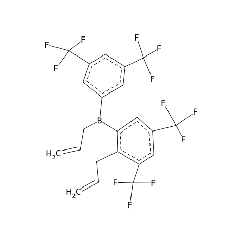 C=CCB(c1cc(C(F)(F)F)cc(C(F)(F)F)c1)c1cc(C(F)(F)F)cc(C(F)(F)F)c1CC=C